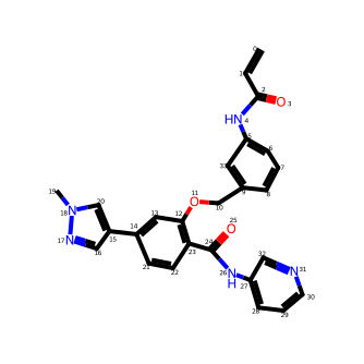 C=CC(=O)Nc1cccc(COc2cc(-c3cnn(C)c3)ccc2C(=O)Nc2cccnc2)c1